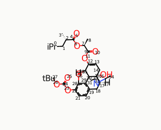 CC(C)C[C@H](C)C(=O)O[C@@H](C)C(=O)OC1=CC[C@@]2(O)[C@H]3Cc4ccc(OC(=O)OC(C)(C)C)c5c4[C@@]2(CCN3C)[C@H]1O5